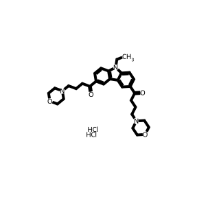 CCn1c2ccc(C(=O)CCCN3CCOCC3)cc2c2cc(C(=O)CCCN3CCOCC3)ccc21.Cl.Cl